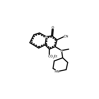 CCOC(=O)c1c(N(C)C2CCNCC2)c(C#N)c(=O)n2ccccc12